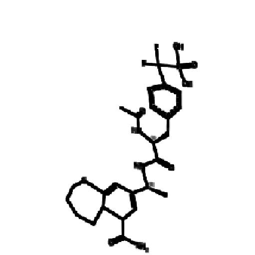 CC(=O)N[C@@H](Cc1ccc(C(F)(F)P(=O)(O)O)cc1)C(=O)N[C@@H](C)C1=CC(C(N)=O)C2CCCCSC2=C1